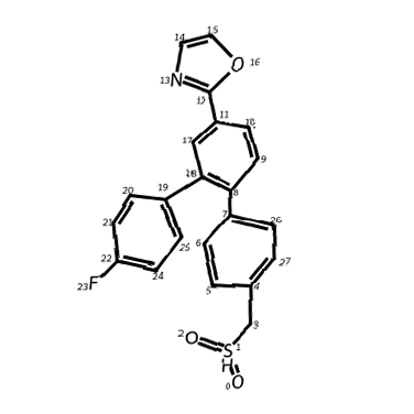 O=[SH](=O)Cc1ccc(-c2c[c]c(-c3ncco3)cc2-c2ccc(F)cc2)cc1